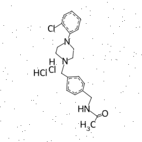 CC(=O)NCc1ccc(CN2CCN(c3ccccc3Cl)CC2)cc1.Cl.Cl